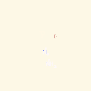 Cc1ccc(-c2nc(N)ccc2Br)o1